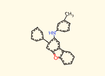 Cc1cccc(Nc2cc3c(cc2-c2ccccc2)oc2ccccc23)c1